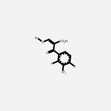 CCO/C=C(/C(=O)OCC)C(=O)c1ccc(F)c(C(F)(F)F)c1F